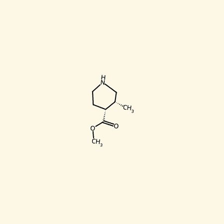 COC(=O)[C@@H]1CCNC[C@@H]1C